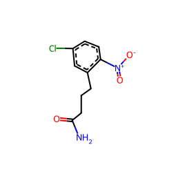 NC(=O)CCCc1cc(Cl)ccc1[N+](=O)[O-]